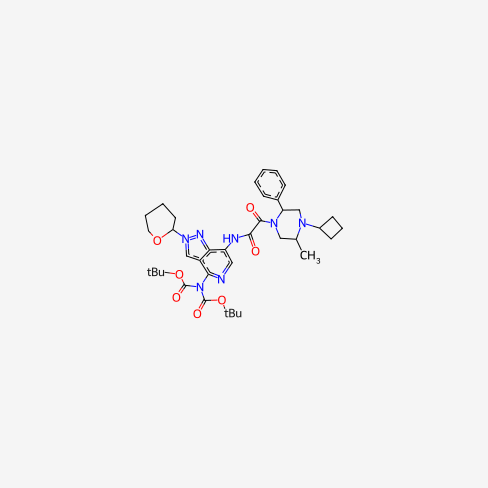 CC1CN(C(=O)C(=O)Nc2cnc(N(C(=O)OC(C)(C)C)C(=O)OC(C)(C)C)c3cn(C4CCCCO4)nc23)C(c2ccccc2)CN1C1CCC1